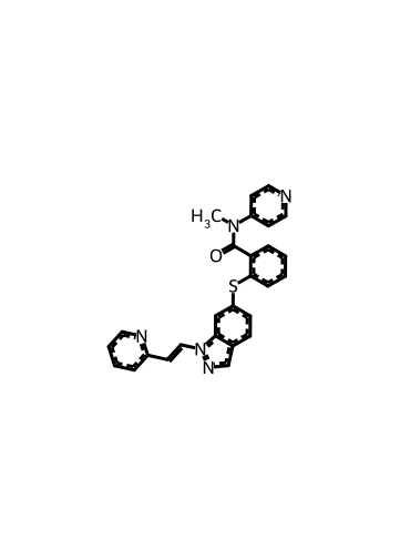 CN(C(=O)c1ccccc1Sc1ccc2cnn(C=Cc3ccccn3)c2c1)c1ccncc1